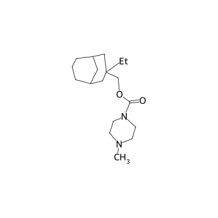 CCC1(COC(=O)N2CCN(C)CC2)CC2CCCC(C2)C1